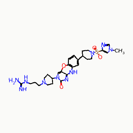 Cn1cnc(S(=O)(=O)N2CCC(c3ccc4c(c3)Nc3nc(=O)n(C5CCN(CCCNC(=N)N)CC5)cc3O4)CC2)c1